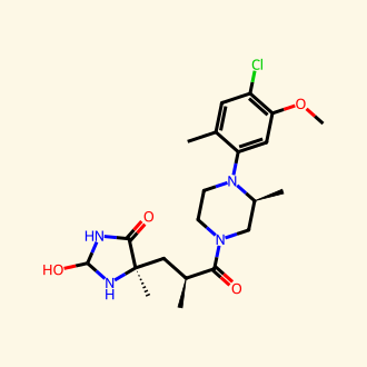 COc1cc(N2CCN(C(=O)[C@@H](C)C[C@@]3(C)NC(O)NC3=O)C[C@@H]2C)c(C)cc1Cl